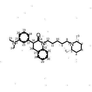 C[C@@H]1CCC[C@H](C)N1CCCCCN1C(=O)C(c2cccc(N(C)C)c2)Cc2ccccc21